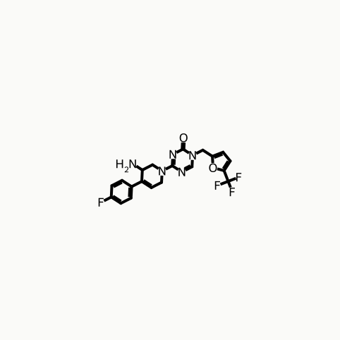 NC1CN(c2ncn(Cc3ccc(C(F)(F)F)o3)c(=O)n2)CC=C1c1ccc(F)cc1